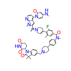 CNc1ccn(-c2ccnc3c2cc([C@H](C)N2CC=C(c4c(C)cc(C(=O)N(C)c5ccc(C6CCN(Cc7ccc8c(c7)C(C)(C)C(=O)N8C7CCC(=O)NC7=O)CC6)cc5)cc4F)CC2)n3C)c(=O)c1